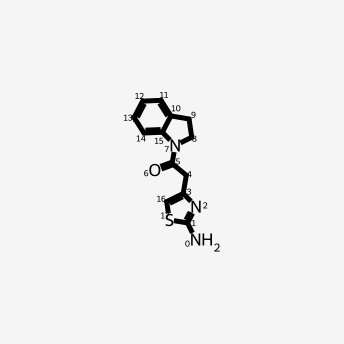 Nc1nc(CC(=O)N2CCc3cc[c]cc32)cs1